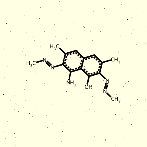 CN=Nc1c(C)cc2cc(C)c(N=NC)c(O)c2c1N